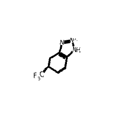 FC(F)(F)C1CCC2=C(C1)N=[N+]N2